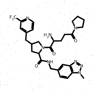 Cn1nnc2cc(CNC(=O)C3CC(Cc4ccnc(C(F)(F)F)c4)CN3C(=O)C(N)CCC(=O)N3CCCC3)ccc21